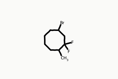 C[C]1CCCCC(Br)CC1(F)F